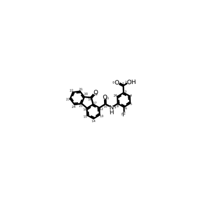 O=C(O)c1ccc(F)c(NC(=O)c2cccc3c2C(=O)c2ccccc2-3)c1